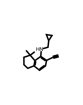 C#Cc1ccc2c(c1NCC1CC1)C(C)(C)CCC2